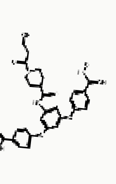 N=C(NO)c1ccc(Oc2cc(NC(=O)C3CCN(C(=O)CCO)CC3)cc(Oc3ccc(C(=N)NO)cc3)c2)cc1